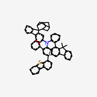 CC1(C)c2ccccc2-c2cccc(-c3ccccc3N(c3ccc4c(c3)C3(c5ccccc5-4)C4CC5CC(C4)CC3C5)c3ccc(-c4cccc5c4sc4ccccc45)cc3-c3ccccc3)c21